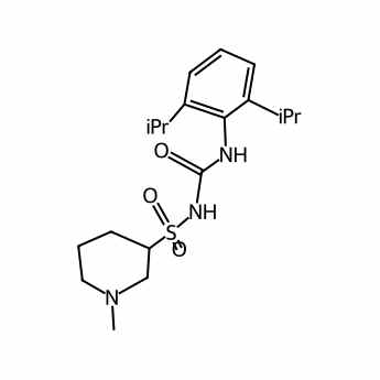 CC(C)c1cccc(C(C)C)c1NC(=O)NS(=O)(=O)C1CCCN(C)C1